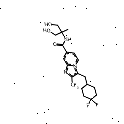 CC(CO)(CO)NC(=O)c1ccn2c(CC3CCC(F)(F)CC3)c(C(F)(F)F)nc2c1